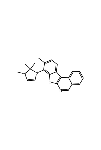 Cc1ccc2c(oc3ncc4ccccc4c32)c1N1C=CN(C)C1(C)C